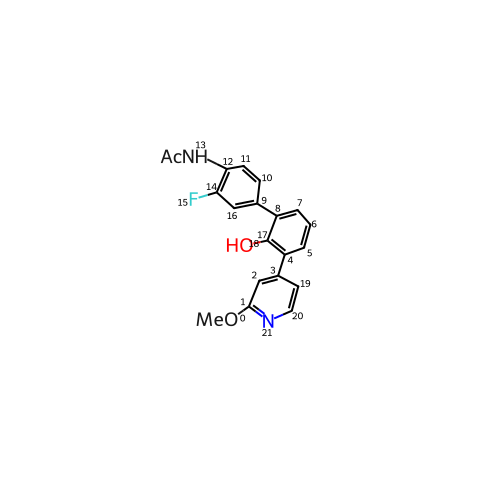 COc1cc(-c2cccc(-c3ccc(NC(C)=O)c(F)c3)c2O)ccn1